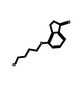 O=C1CCc2c(OCCCCCl)cccc21